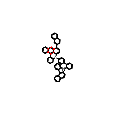 C1=CC(c2cccc3ccccc23)=C(N(c2ccc(-c3ccccc3-n3c4ccccc4c4c5ccccc5ccc43)cc2)c2ccc(-c3ccc4ccccc4c3)c3ccccc23)CC1